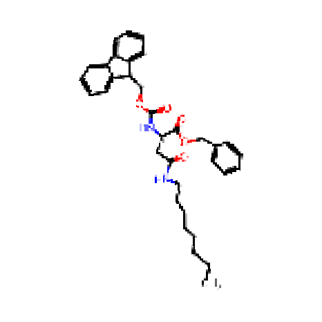 CCCCCCCCNC(=O)C[C@@H](NC(=O)OCC1c2ccccc2-c2ccccc21)C(=O)OCc1ccccc1